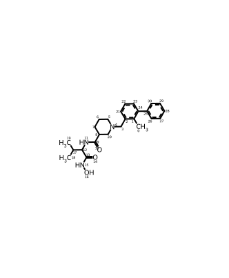 Cc1c(CN2CCCC(C(=O)NC(C(=O)NO)C(C)C)C2)cccc1-c1ccccc1